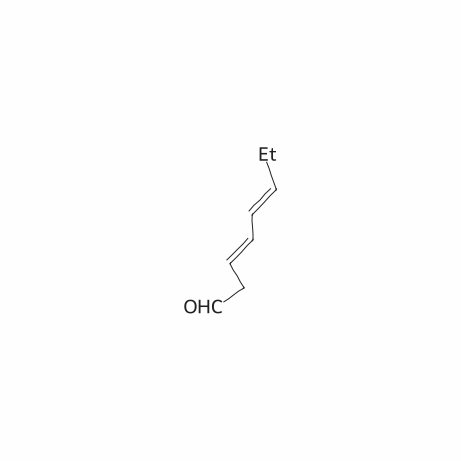 CCC=CC=CCC=O